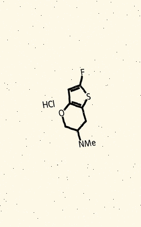 CNC1COc2cc(F)sc2C1.Cl